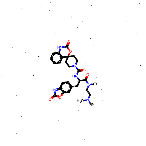 CCN(CCN(C)C(C)C)C(=O)C(Cc1ccc2[nH]c(=O)oc2c1)NC(=O)N1CCC2(CC1)OC(=O)Nc1ccccc12